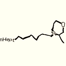 CCCCCCCCCCCCCN1CCOCC1C